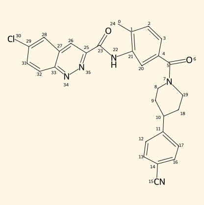 Cc1ccc(C(=O)N2CCC(c3ccc(C#N)cc3)CC2)cc1NC(=O)c1cc2cc(Cl)ccc2nn1